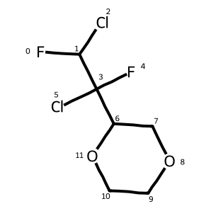 FC(Cl)C(F)(Cl)C1COCCO1